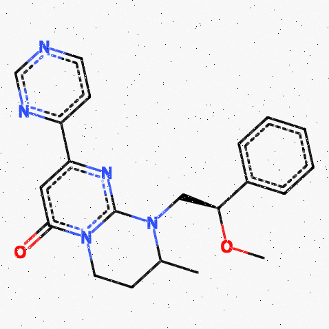 CO[C@@H](CN1c2nc(-c3ccncn3)cc(=O)n2CCC1C)c1ccccc1